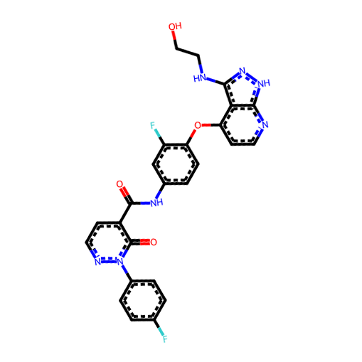 O=C(Nc1ccc(Oc2ccnc3[nH]nc(NCCO)c23)c(F)c1)c1ccnn(-c2ccc(F)cc2)c1=O